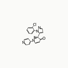 O=c1ccn(-c2ccncc2)nc1-c1ccnn1-c1ccccc1Cl